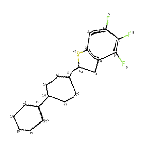 Fc1cc2c(c(F)c1F)CC(C1CCC(C3CCCCC3)CC1)S2